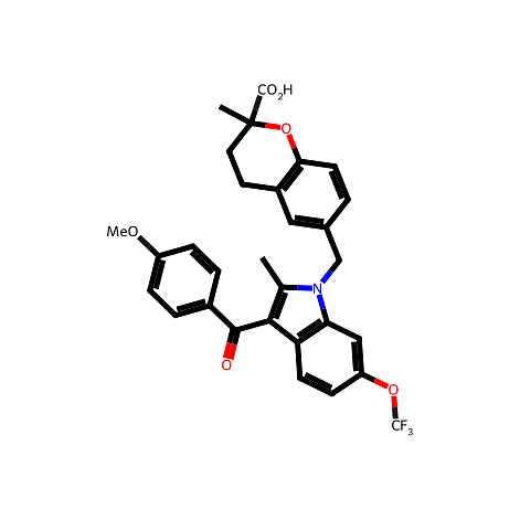 COc1ccc(C(=O)c2c(C)n(Cc3ccc4c(c3)CCC(C)(C(=O)O)O4)c3cc(OC(F)(F)F)ccc23)cc1